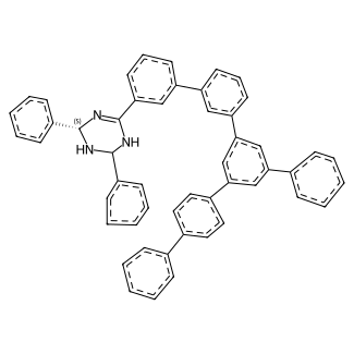 c1ccc(-c2ccc(-c3cc(-c4ccccc4)cc(-c4cccc(-c5cccc(C6=N[C@@H](c7ccccc7)NC(c7ccccc7)N6)c5)c4)c3)cc2)cc1